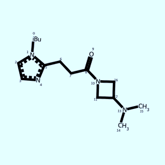 CCC(C)n1ccnc1CCC(=O)N1CC(N(C)C)C1